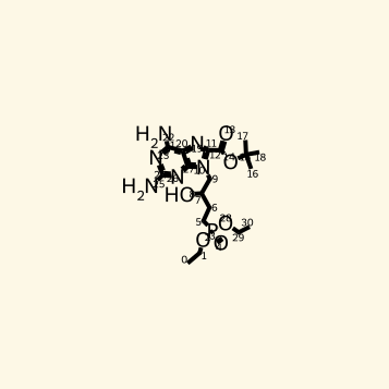 CCOP(=O)(CCC(O)Cn1c(C(=O)OC(C)(C)C)nc2c(N)nc(N)nc21)OCC